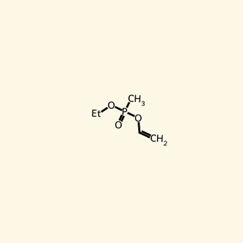 C=COP(C)(=O)OCC